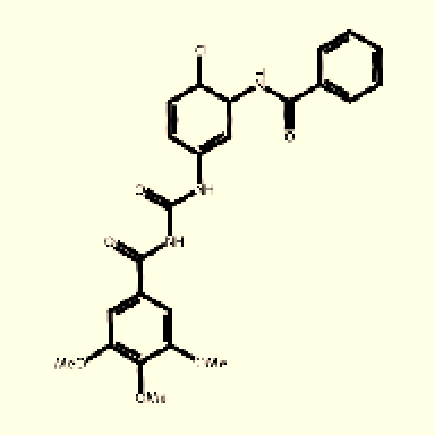 COc1cc(C(=O)NC(=O)NC2=CC(NC(=O)c3ccccc3)C(Cl)C=C2)cc(OC)c1OC